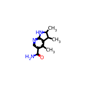 Cc1c(C(N)=O)cnc2c1C(C)C(C)N2